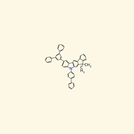 CC1(C)c2ccccc2-c2cc3c4cc(-c5cc(-c6ccccc6)cc(-c6ccccc6)c5)ccc4n(-c4ccc(-c5ccccc5)cc4)c3cc21